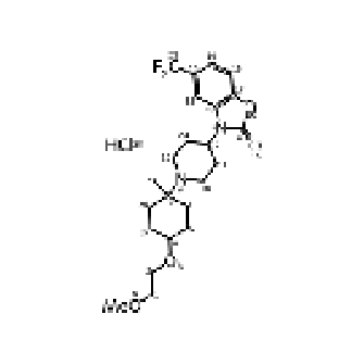 COCCOC1CCC(C)(N2CCC(n3c(=O)oc4ccc(C(F)(F)F)cc43)CC2)CC1.Cl